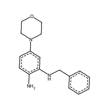 Nc1ccc(N2CCOCC2)cc1NCc1ccccc1